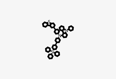 c1ccc(-n2c3ccccc3c3c(N(c4ccc(-c5ccc([Si](c6ccccc6)(c6ccccc6)c6ccccc6)cc5)cc4)c4ccc(-c5ccc6sc7ccccc7c6c5)cc4)cccc32)cc1